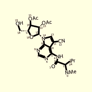 CNC(C(=O)Nc1ncnc2c1c(C#N)cn2[C@@H]1O[C@H](CO)C(OC(C)=O)[C@@H]1OC(C)=O)C(C)C